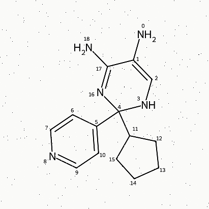 NC1=CNC(c2ccncc2)(C2CCCC2)N=C1N